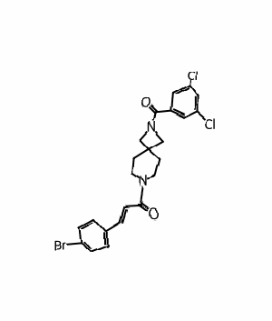 O=C(C=Cc1ccc(Br)cc1)N1CCC2(CC1)CN(C(=O)c1cc(Cl)cc(Cl)c1)C2